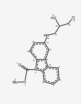 CC(C)(C)OC(=O)n1c2ccccc2c2cc(NCC(O)CCl)ccc21